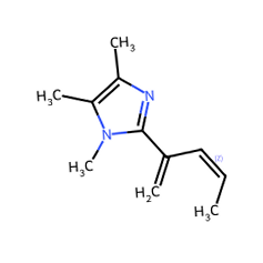 C=C(/C=C\C)c1nc(C)c(C)n1C